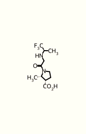 C[C@H]1[C@@H](C(=O)O)CCN1C(=O)CN[C@H](C)C(F)(F)F